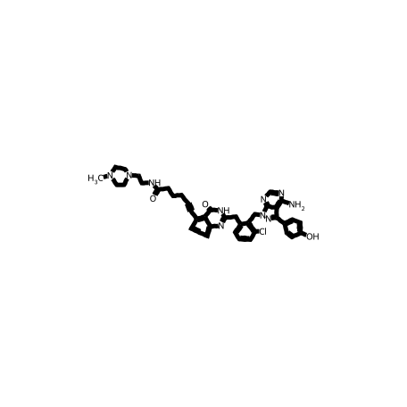 CN1CCN(CCNC(=O)CCCC#Cc2cccc3nc(Cc4cccc(Cl)c4Cn4nc(-c5ccc(O)cc5)c5c(N)ncnc54)[nH]c(=O)c23)CC1